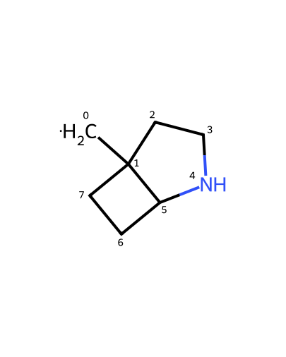 [CH2]C12CCNC1CC2